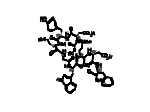 CSCC[C@H](NC(=O)[C@H](Cc1ccc(O)cc1)NC(=O)[C@H](CC(=O)O)NC(=O)OC(C)(C)C)C(=O)NCC(=O)N[C@@H](Cc1c[nH]c2ccccc12)C(=O)N[C@@H](CCSC)C(=O)N[C@@H](CC(=O)O)C(=O)N[C@@H](Cc1ccccc1)C(N)=O